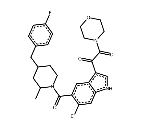 CC1CC(Cc2ccc(F)cc2)CCN1C(=O)c1cc2c(C(=O)C(=O)N3CCOCC3)c[nH]c2cc1Cl